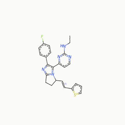 CCNc1nccc(-c2c(-c3ccc(F)cc3)nc3n2C(/C=C/c2cccs2)CC3)n1